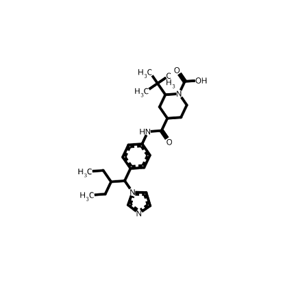 CCC(CC)C(c1ccc(NC(=O)C2CCN(C(=O)O)C(C(C)(C)C)C2)cc1)n1ccnc1